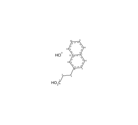 Cl.O=C(O)CCc1ccc2ccccc2c1